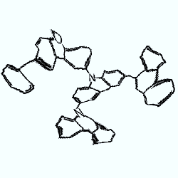 c1ccc(-c2ccc3oc4ccc(-n5c6ccc(-c7cc8ccccc8c8ccccc78)cc6c6cc(-n7c8ccccc8c8ccccc87)ccc65)cc4c3c2)cc1